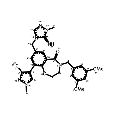 COc1cc(CN2CCOc3c(cc(Cn4cnn(C)c4=N)cc3-c3cn(C)nc3C(F)(F)F)C2=O)cc(OC)c1